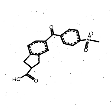 CS(=O)(=O)c1ccc(C(=O)c2ccc3c(c2)CC(C(=O)O)C3)cc1